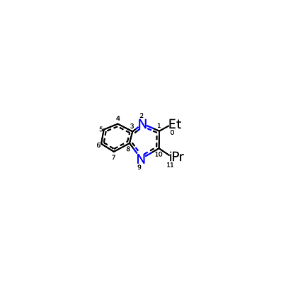 CCc1nc2ccccc2nc1C(C)C